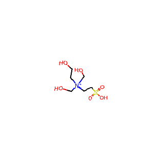 O=S(=O)(O)CC[N+](CO)(CO)CCO